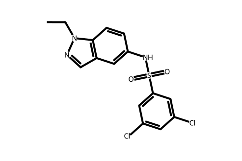 CCn1ncc2cc(NS(=O)(=O)c3cc(Cl)cc(Cl)c3)ccc21